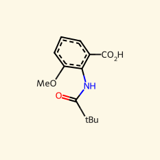 COc1cccc(C(=O)O)c1NC(=O)C(C)(C)C